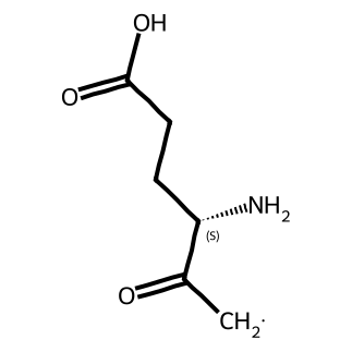 [CH2]C(=O)[C@@H](N)CCC(=O)O